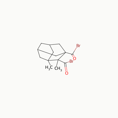 CC12CC3CC(C1)CC(C(=O)Br)(C3)C2(C)C(=O)Br